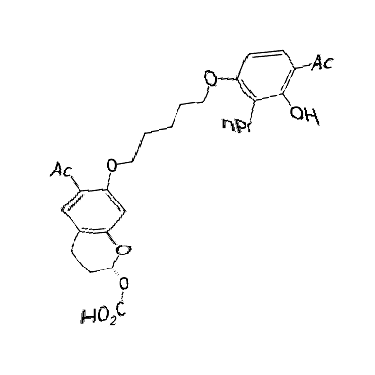 CCCc1c(OCCCCCOc2cc3c(cc2C(C)=O)CC[C@@H](OC(=O)O)O3)ccc(C(C)=O)c1O